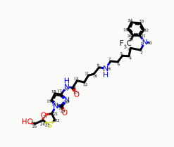 CN(CCCCCCNCCCCCC(=O)Nc1ccn(C2CSC(CO)O2)c(=O)n1)c1ccccc1C(F)(F)F